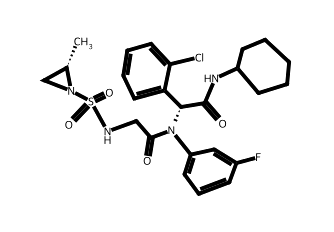 C[C@H]1CN1S(=O)(=O)NCC(=O)N(c1cccc(F)c1)[C@@H](C(=O)NC1CCCCC1)c1ccccc1Cl